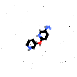 Nc1ccc(Oc2cccnc2)nc1